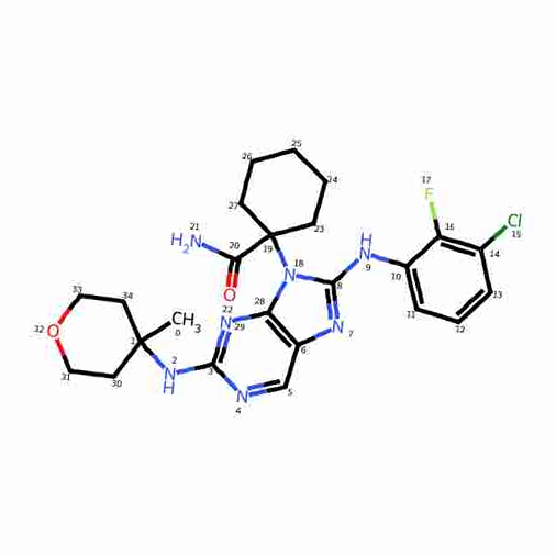 CC1(Nc2ncc3nc(Nc4cccc(Cl)c4F)n(C4(C(N)=O)CCCCC4)c3n2)CCOCC1